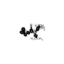 CC(C)c1ccc(-c2nc(-c3ccc(C(C)(C)C)cc3)nc(-c3cc(C#N)cc(-c4ccc5c(c4)OC(c4ccccc4)(c4ccccc4)c4ccccc4-5)c3)n2)cc1